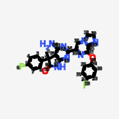 CC1(c2ccc(F)cc2)C(=O)Nc2nc(-c3cn4ccnc4c(Oc4ccc(F)cc4)n3)nc(N)c21